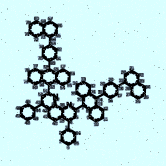 c1ccc(-c2cc(-c3c4ccccc4c(-c4ccc(-c5cccc6ccccc56)cc4)c4ccccc34)nc3c2ccc2c(-c4ccccc4)cc(-c4c5ccccc5c(-c5ccc(-c6cccc7ccccc67)cc5)c5ccccc45)nc23)cc1